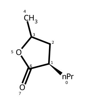 CCC[C@@H]1CC(C)OC1=O